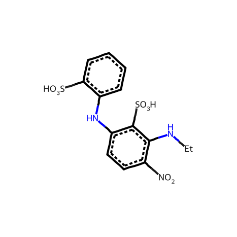 CCNc1c([N+](=O)[O-])ccc(Nc2ccccc2S(=O)(=O)O)c1S(=O)(=O)O